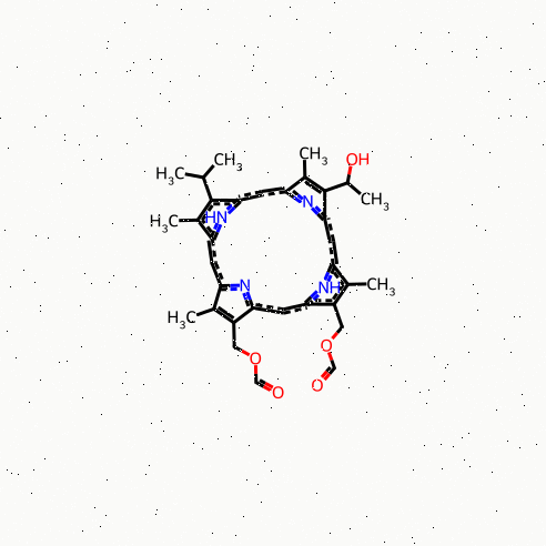 CC1=C(COC=O)c2cc3[nH]c(cc4nc(cc5[nH]c(cc1n2)c(C)c5C(C)C)C(C)=C4C(C)O)c(C)c3COC=O